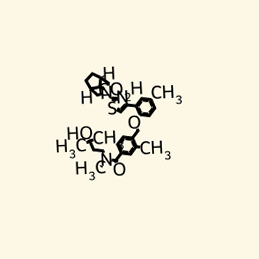 Cc1ccc(OCc2ccc(C(=O)N(C)CCC(C)(C)O)cc2C)c(-c2csc(N3C[C@H]4CC[C@@H](C3)C4C(=O)O)n2)c1